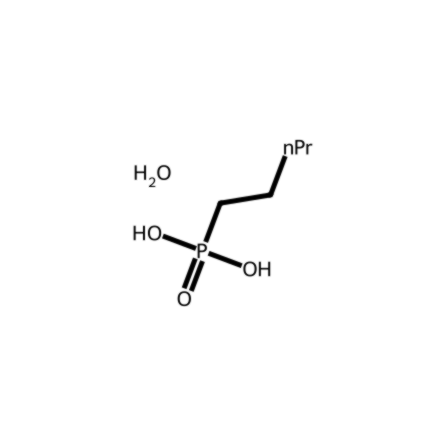 CCCCCP(=O)(O)O.O